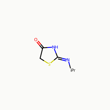 CC(C)/N=C1/NC(=O)CS1